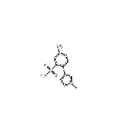 Cn1cc(-c2ccc(N)cc2S(N)(=O)=O)cn1